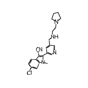 Cn1c(-c2cncc(CNCCN3CCCC3)c2)c(C#N)c2ccc(Cl)cc21